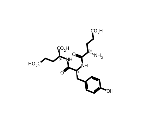 N[C@@H](CCC(=O)O)C(=O)N[C@@H](Cc1ccc(O)cc1)C(=O)N[C@@H](CCC(=O)O)C(=O)O